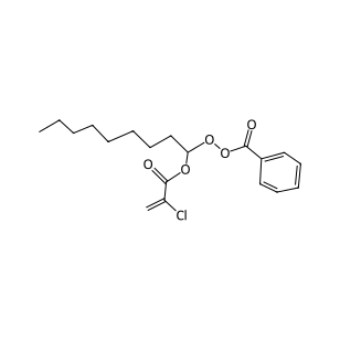 C=C(Cl)C(=O)OC(CCCCCCCC)OOC(=O)c1ccccc1